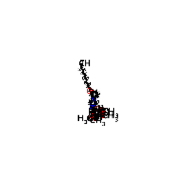 C#CCCCCCCCCCCOc1cccc(N2CCN(C[C@H]3O[C@@H]4OC(C)(C)O[C@@H]4[C@H]4OC(C)(C)O[C@H]43)CC2)c1